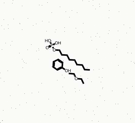 CCCCCCCCCOP(=O)(O)O.CCOCC.Oc1ccccc1